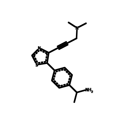 CC(N)c1ccc(-c2scnc2C#CCN(C)C)cc1